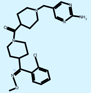 CO/N=C(\c1ccccc1Cl)C1CCN(C(=O)C2CCN(Cc3cnc(N)nc3)CC2)CC1